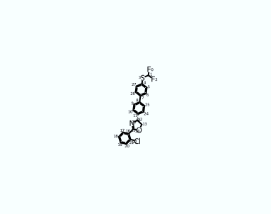 FC(F)Sc1ccc(-c2ccc([C@@H]3COC(c4ccccc4Cl)=N3)cc2)cc1